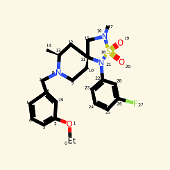 CCOc1cccc(CN2CC[C@@]3(C[C@@H]2C)CN(C)S(=O)(=O)N3c2cccc(F)c2)c1